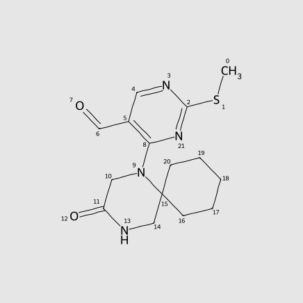 CSc1ncc(C=O)c(N2CC(=O)NCC23CCCCC3)n1